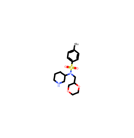 CC(C)(C)c1ccc(S(=O)(=O)N(CC2COCCO2)C2CCCNC2)cc1